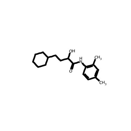 Cc1ccc(NC(=O)C(O)CCC2CCCCC2)c(C)c1